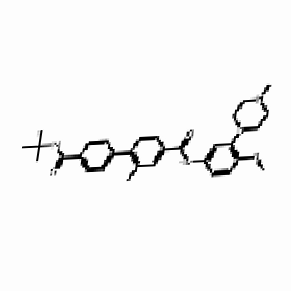 COc1ccc(NC(=O)c2ccc(-c3ccc(C(=O)NC(C)(C)C)cc3)c(C)c2)cc1N1CCN(C)CC1